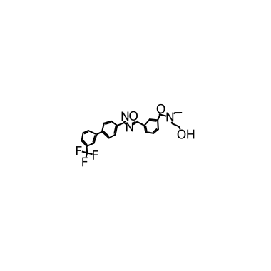 CCN(CCO)C(=O)c1cccc(-c2nc(-c3ccc(-c4cccc(C(F)(F)F)c4)cc3)no2)c1